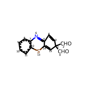 O=CC1(C=O)C=CC2=Nc3ccccc3SC2=C1